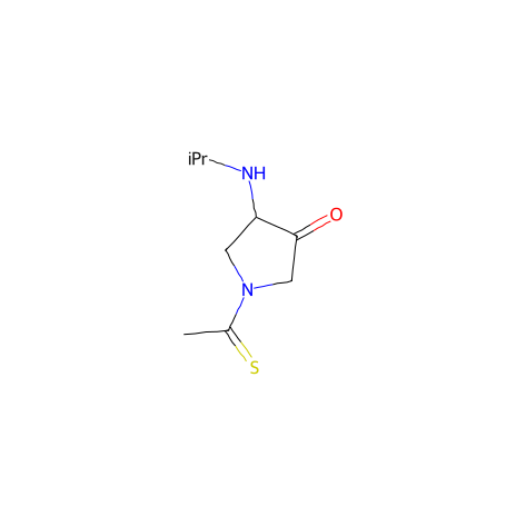 CC(=S)N1CC(=O)C(NC(C)C)C1